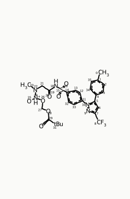 Cc1ccc(-c2cc(C(F)(F)F)nn2-c2ccc(S(=O)(=O)NC(=O)CN(C)[NH+]([O-])OCOC(=O)C(C)(C)C)cc2)cc1